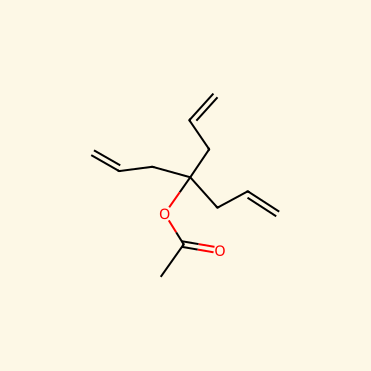 C=CCC(CC=C)(CC=C)OC(C)=O